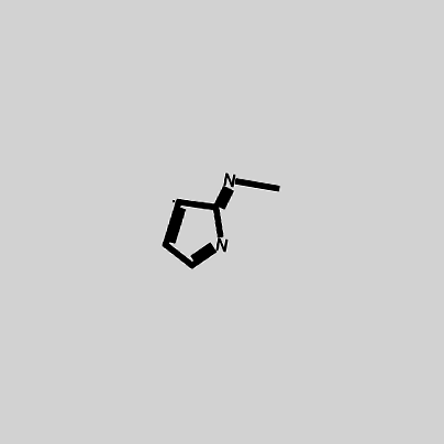 CN=C1[C]=CC=N1